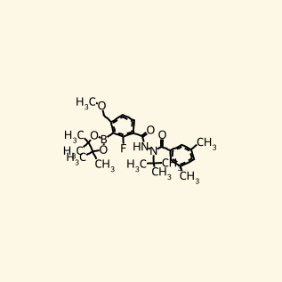 COCc1ccc(C(=O)NN(C(=O)c2cc(C)cc(C)c2)C(C)(C)C)c(F)c1B1OC(C)(C)C(C)(C)O1